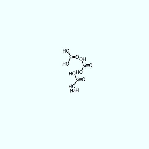 O=[Si](O)O.O=[Si](O)O.O=[Si](O)O.[NaH]